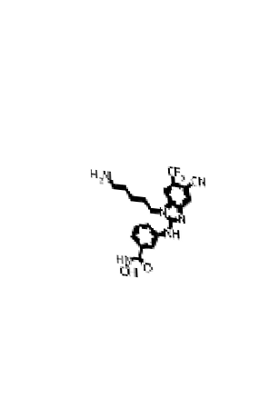 N#Cc1cc2nc(Nc3cccc(C(=O)NO)c3)n(CCCCCN)c2cc1C(F)(F)F